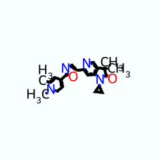 CC1=CC(c2ncc(-c3cc4c(cn3)C(C)(C)C(=O)N4C3CC3)o2)=CCN1C